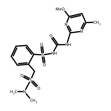 COc1cc(C)nc(NC(=O)NS(=O)(=O)c2ccccc2CS(=O)(=O)N(C)C)n1